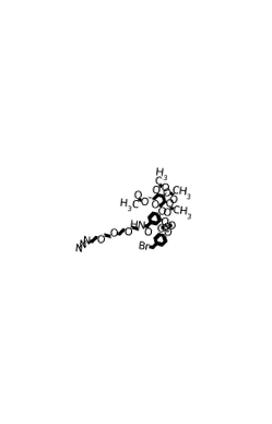 CC(=O)OC[C@H]1O[C@@H](Oc2ccc(C(=O)NCCOCCOCCOCCN=[N+]=[N-])cc2OS(=O)(=O)Oc2ccc(CBr)cc2)[C@H](OC(C)=O)[C@@H](OC(C)=O)[C@H]1OC(C)=O